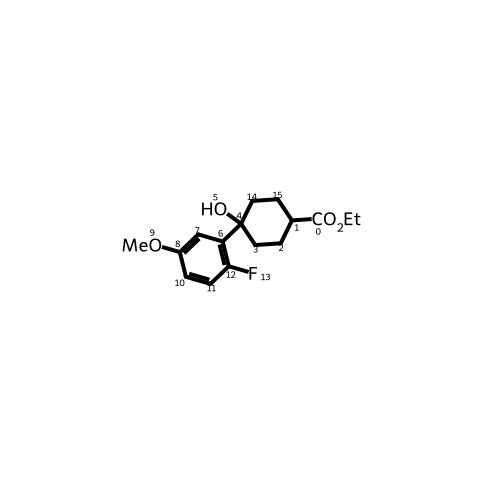 CCOC(=O)C1CCC(O)(c2cc(OC)ccc2F)CC1